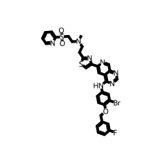 CN(CCc1nc(-c2cc3c(Nc4ccc(OCc5cccc(F)c5)c(Br)c4)ncnc3cn2)cs1)CCS(=O)(=O)c1ccccn1